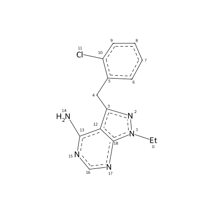 CCn1nc(Cc2ccccc2Cl)c2c(N)ncnc21